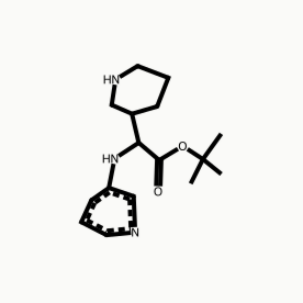 CC(C)(C)OC(=O)C(Nc1cccnc1)C1CCCNC1